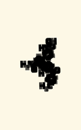 CN1CCN(C(=O)c2ccc3c(c2)[nH]c2c(C(N)=O)ccc(N4CCCC(NC(=O)O)C4)c23)CC1